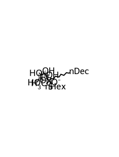 CCCCCCCCCCCCCCCCCC[N+](C([O-])=S)(C(C)CCCCCC)C1O[C@H](CO)[C@@H](O)[C@H](O)[C@H]1O